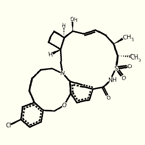 C[C@@H]1C/C=C/[C@H](O)[C@@H]2CC[C@H]2CN2CCCCc3cc(Cl)ccc3COc3ccc(cc32)C(=O)NS(=O)(=O)[C@H]1C